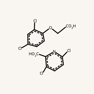 O=C(O)COc1ccc(Cl)cc1Cl.O=C(O)c1nc(Cl)ccc1Cl